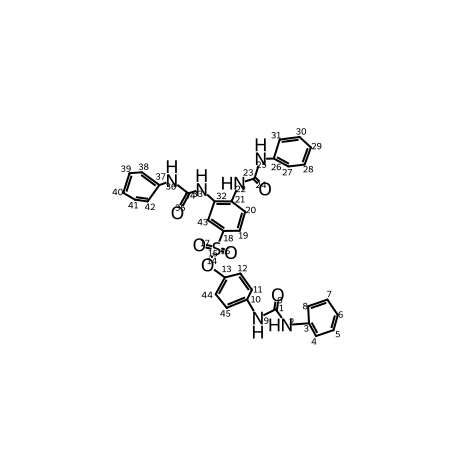 O=C(Nc1ccccc1)Nc1ccc(OS(=O)(=O)c2ccc(NC(=O)Nc3ccccc3)c(NC(=O)Nc3ccccc3)c2)cc1